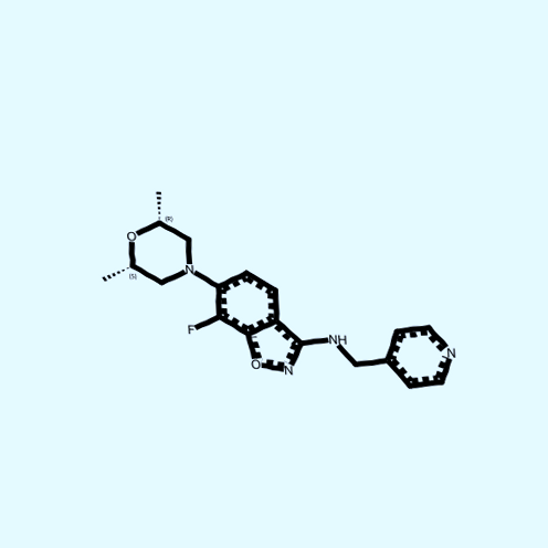 C[C@@H]1CN(c2[c]cc3c(NCc4ccncc4)noc3c2F)C[C@H](C)O1